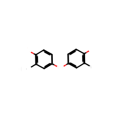 Cc1cc(Oc2ccc(O)c(C)c2)ccc1O